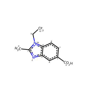 Cc1nc2cc(C(=O)O)ccc2n1CC(F)(F)F